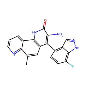 Cc1cc2c(-c3ccc(F)c4[nH]ncc34)c(N)c(=O)[nH]c2c2cccnc12